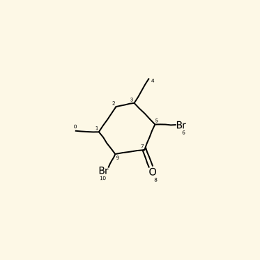 CC1CC(C)C(Br)C(=O)C1Br